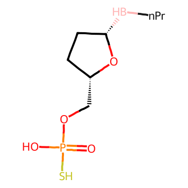 CCCB[C@H]1CC[C@@H](COP(=O)(O)S)O1